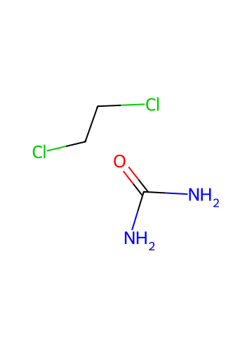 ClCCCl.NC(N)=O